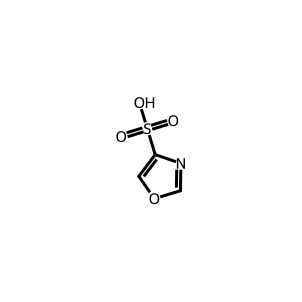 O=S(=O)(O)c1cocn1